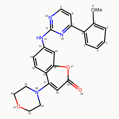 COc1ccccc1-c1ccnc(Nc2ccc3c(N4CCOCC4)cc(=O)oc3c2)n1